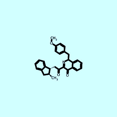 COc1ccc(CC2N=C(C(=O)C[C@H]3c4ccccc4C[C@@H]3C)C(=O)c3ccccc32)cc1